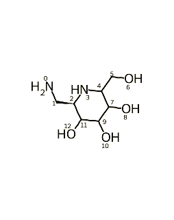 NC[C@H]1NC(CO)C(O)C(O)C1O